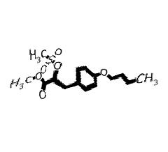 CCCCOc1ccc(CC(OS(C)(=O)=O)C(=O)OC)cc1